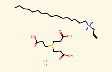 C=CC[N+](C)(C)CCCCCCCCCCCCCCCC.Cl.O=C(O)CCP(CCC(=O)O)CCC(=O)O.[Cl-]